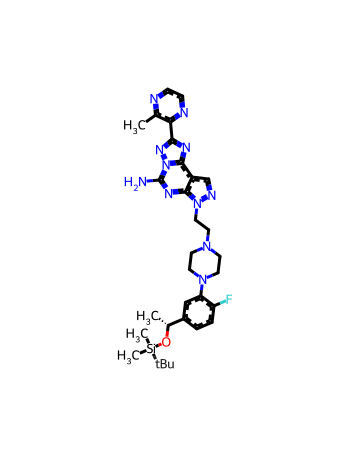 Cc1nccnc1-c1nc2c3cnn(CCN4CCN(c5cc([C@@H](C)O[Si](C)(C)C(C)(C)C)ccc5F)CC4)c3nc(N)n2n1